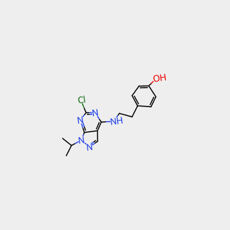 CC(C)n1ncc2c(NCCc3ccc(O)cc3)nc(Cl)nc21